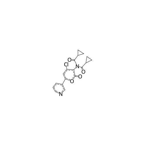 O=C(C1CC1)N(C(=O)C1CC1)c1c(Cl)cc(-c2cccnc2)oc1=O